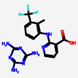 Cc1c(Nc2ncccc2C(=O)O)cccc1C(F)(F)F.Nc1nc(N)nc(N)n1